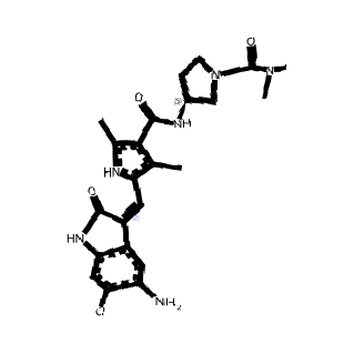 Cc1[nH]c(/C=C2\C(=O)Nc3cc(Cl)c(N)cc32)c(C)c1C(=O)N[C@H]1CCN(C(=O)N(C)C)C1